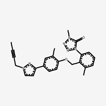 CC#CCn1ccc(-c2ccc(OCc3c(C)cccc3-n3nnn(C)c3=O)c(C)c2)n1